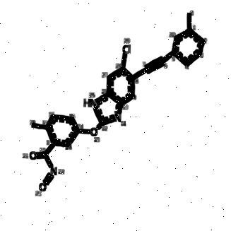 Cc1cccc(C#Cc2cc3nc(Oc4ccc(C)c(C(=O)N=O)c4)[nH]c3cc2Cl)c1